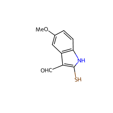 COc1ccc2[nH]c(S)c(C=O)c2c1